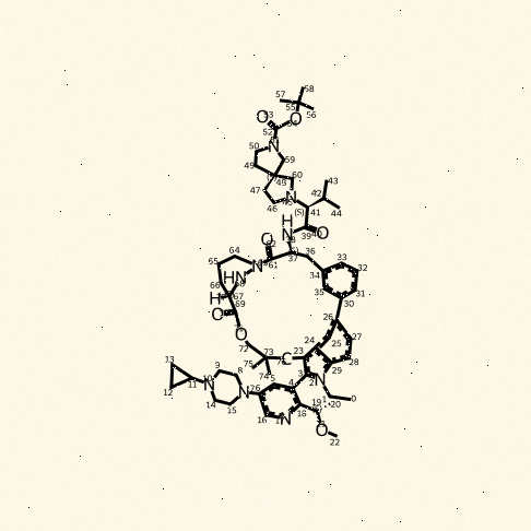 CCn1c(-c2cc(N3CCN(C4CC4)CC3)cnc2[C@H](C)OC)c2c3cc(ccc31)-c1cccc(c1)C[C@H](NC(=O)[C@H](C(C)C)N1CC[C@]3(CCN(C(=O)OC(C)(C)C)C3)C1)C(=O)N1CCC[C@H](N1)C(=O)OCC(C)(C)C2